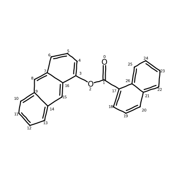 O=C(Oc1cccc2cc3ccccc3cc12)c1cccc2ccccc12